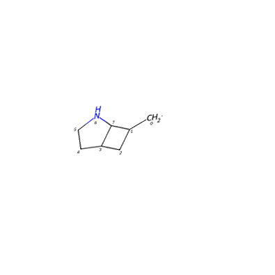 [CH2]C1CC2CCNC12